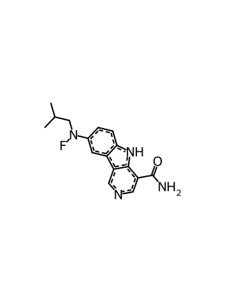 CC(C)CN(F)c1ccc2[nH]c3c(C(N)=O)cncc3c2c1